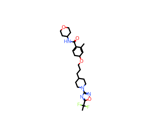 CC1=CC(OCCCC2CCN(c3noc(C(C)(F)F)n3)CC2)CC=C1C(=O)NC1CCOCC1